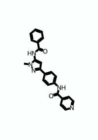 Cn1nc(-c2ccc(NC(=O)c3ccncc3)cc2)cc1NC(=O)c1ccccc1